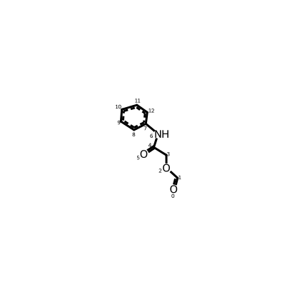 O=COCC(=O)Nc1ccccc1